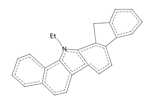 CCn1c2c3c(ccc2c2ccc4ccccc4c21)-c1ccccc1C3